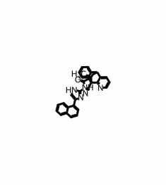 CC1(C(=O)Nc2nc(-c3cccc4ccccc34)c[nH]2)CC2c3ccccc3C1(C#N)c1ncccc12